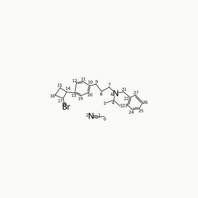 CC#N.CC(C)N(CCCc1ccc(C2CCC2Br)cc1)Cc1ccccc1